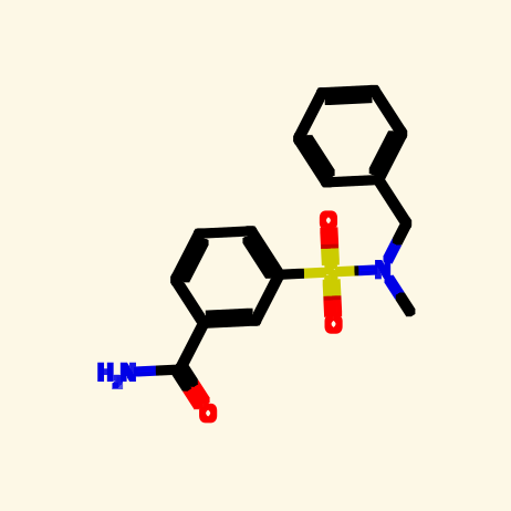 CN(Cc1ccccc1)S(=O)(=O)c1cccc(C(N)=O)c1